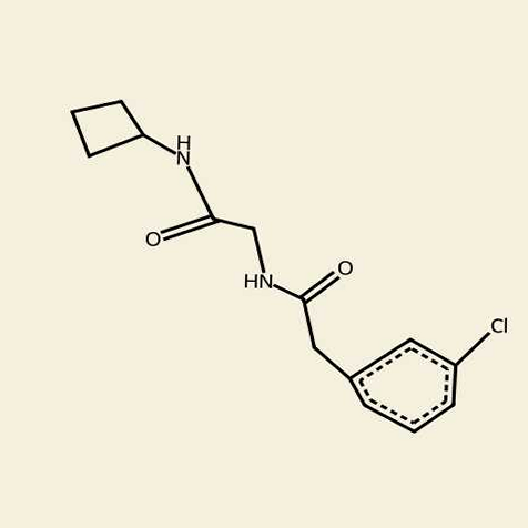 O=C(Cc1cccc(Cl)c1)NCC(=O)NC1CCC1